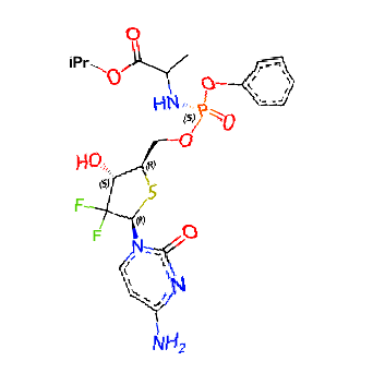 CC(C)OC(=O)C(C)N[P@](=O)(OC[C@H]1S[C@@H](n2ccc(N)nc2=O)C(F)(F)[C@@H]1O)Oc1ccccc1